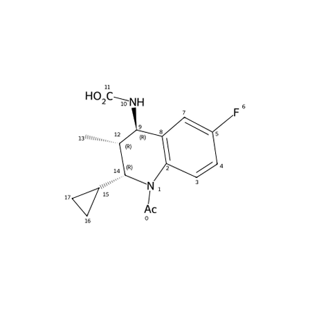 CC(=O)N1c2ccc(F)cc2[C@H](NC(=O)O)[C@@H](C)[C@H]1C1CC1